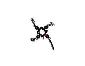 CCCCCCCCCCOc1ccc(-c2c3nc(c(-c4ccc(OCCOS(C)(=O)=O)cc4)c4ccc([nH]4)c(-c4ccc(OCCOSOOC)cc4)c4nc(c(-c5ccc(OCCOS(C)(=O)=O)cc5)c5ccc2[nH]5)C=C4)C=C3)cc1